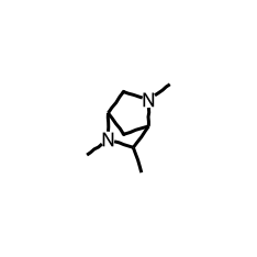 CC1C2CC(CN2C)N1C